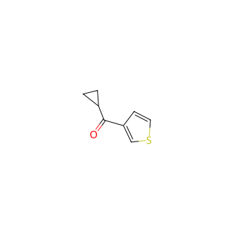 O=C(c1ccsc1)C1CC1